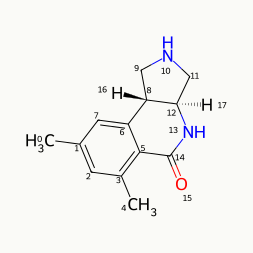 Cc1cc(C)c2c(c1)[C@@H]1CNC[C@H]1NC2=O